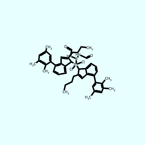 CCCCC1=Cc2c(-c3cc(C)cc(C)c3C)cccc2[CH]1[Zr]([Cl])([Cl])([B](NC=O)NC=O)[CH]1C(CCCC)=Cc2c(-c3cc(C)cc(C)c3C)cccc21